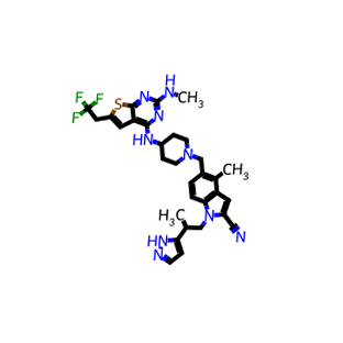 CNc1nc(NC2CCN(Cc3ccc4c(cc(C#N)n4CC(C)c4ccn[nH]4)c3C)CC2)c2cc(CC(F)(F)F)sc2n1